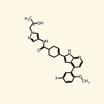 COc1ccc(F)cc1-c1ccnc2[nH]c(C3=CCC(C(=O)Nc4cnn(C[C@@H](C)O)c4)CC3)cc12